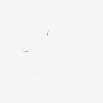 C[Si](C)(CCCNC(=O)O)O[Si](C)(C)CSc1ncc(CN=[N+]=[N-])cn1